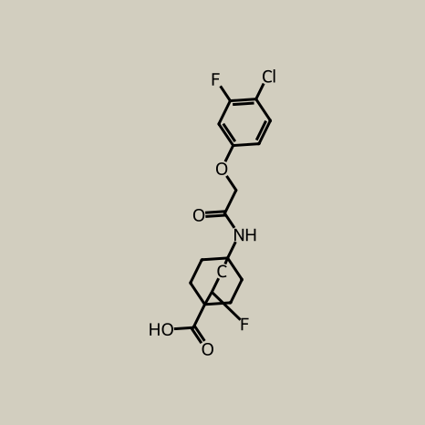 O=C(COc1ccc(Cl)c(F)c1)NC12CCC(C(=O)O)(CC1)C(F)C2